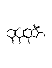 CSC1Cc2c(ccc(C(=O)C3=C(Cl)CCCC3=O)c2Cl)S1(=O)=O